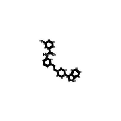 O=C(Nc1cccc(CCN2CCN(c3nsc4ccccc34)CC2)c1)c1cccc(F)c1